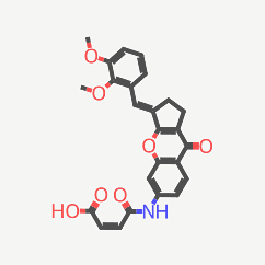 COc1cccc(C=C2CCc3c2oc2cc(NC(=O)/C=C\C(=O)O)ccc2c3=O)c1OC